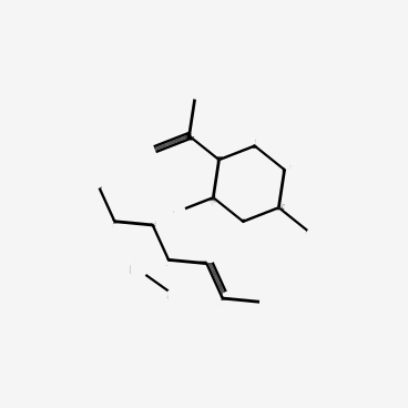 C=C(C)C1CCC(C)CC1O.CC=CCCCC.CO